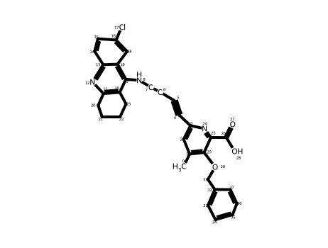 Cc1cc(C#CCCNc2c3c(nc4ccc(Cl)cc24)CCCC3)nc(C(=O)O)c1OCc1ccccc1